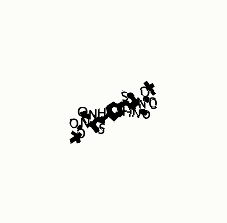 CC(C)(C)OC(=O)n1c(=O)[nH]c2c(-c3ccc(-c4scc5c4[nH]c(=O)n5C(=O)OC(C)(C)C)cc3)scc21